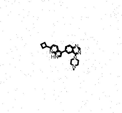 CN1CCN(c2ncnc3ccc(-c4c[nH]c5nc(C6CCC6)ccc45)cc23)CC1